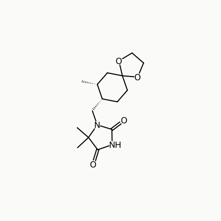 C[C@@H]1CC2(CC[C@@H]1CN1C(=O)NC(=O)C1(C)C)OCCO2